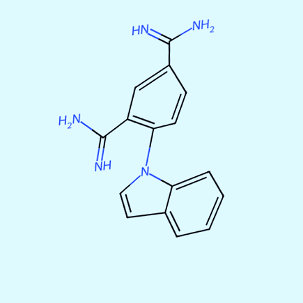 N=C(N)c1ccc(-n2ccc3ccccc32)c(C(=N)N)c1